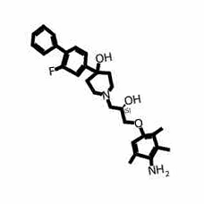 Cc1cc(OC[C@@H](O)CN2CCC(O)(c3ccc(-c4ccccc4)c(F)c3)CC2)c(C)c(C)c1N